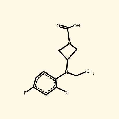 CCN(c1ccc(F)cc1Cl)C1CN(C(=O)O)C1